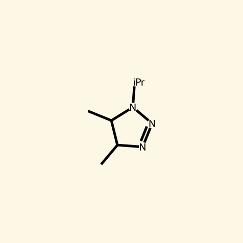 CC1N=NN(C(C)C)C1C